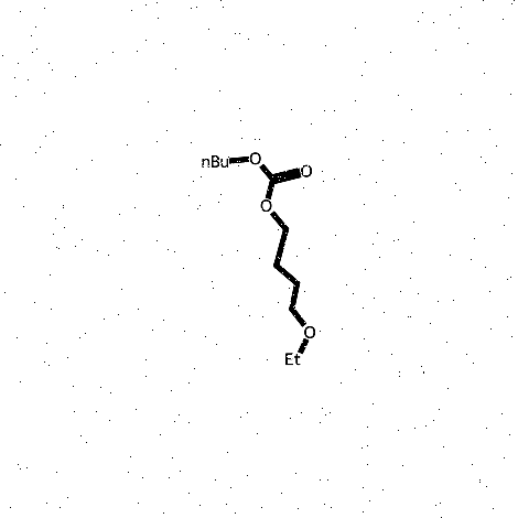 CCCCOC(=O)OCCCCOCC